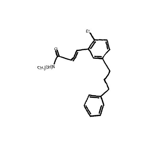 CCc1ccc(CCCc2ccccc2)cc1C=CC(=O)N(C)O